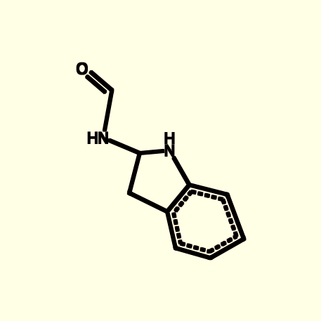 O=CNC1Cc2ccccc2N1